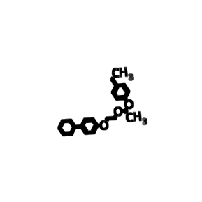 CCc1ccc(OC(C)OCCOc2ccc(C3CCCCC3)cc2)cc1